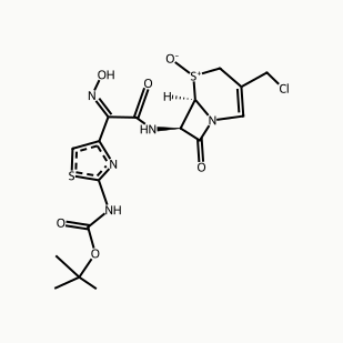 CC(C)(C)OC(=O)Nc1nc(/C(=N/O)C(=O)N[C@@H]2C(=O)N3C=C(CCl)C[S+]([O-])[C@H]23)cs1